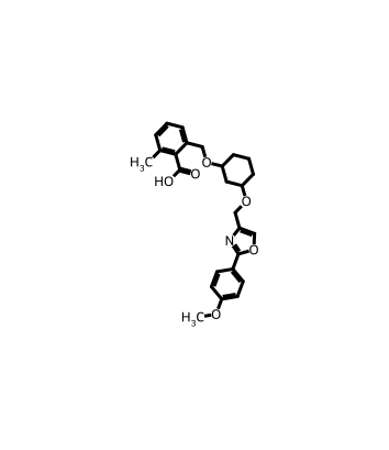 COc1ccc(-c2nc(COC3CCCC(OCc4cccc(C)c4C(=O)O)C3)co2)cc1